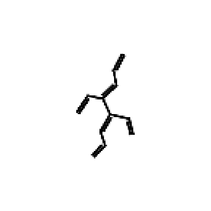 C=C/C=C(C=C)/C(C=C)=C/C=C